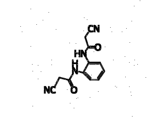 N#CCC(=O)Nc1ccccc1NC(=O)CC#N